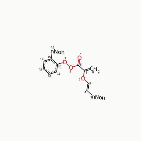 C=C(OC=CCCCCCCCCC)C(=O)OOc1ccccc1CCCCCCCCC